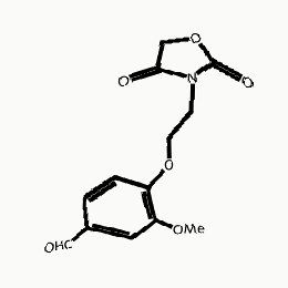 COc1cc(C=O)ccc1OCCN1C(=O)COC1=O